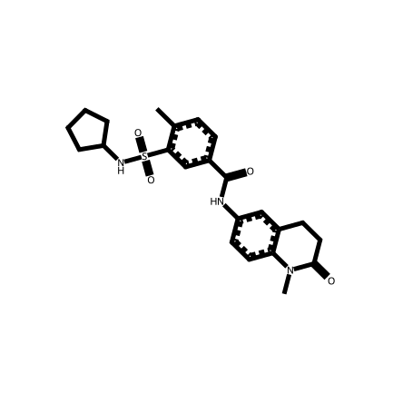 Cc1ccc(C(=O)Nc2ccc3c(c2)CCC(=O)N3C)cc1S(=O)(=O)NC1CCCC1